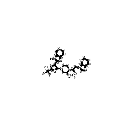 CC1CN(c2sc(C(F)(F)F)nc2-c2nc3ccncc3[nH]2)CCN1C(=O)Cn1cnc2cccnc21